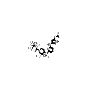 CC(C)(C)OC(=O)N1CCC(Oc2cncc(Nc3cc(OC(F)F)[nH]n3)n2)C(C)(C)C1